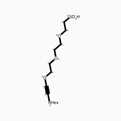 CCCCCCC#COCCOCCOCCS(=O)(=O)O